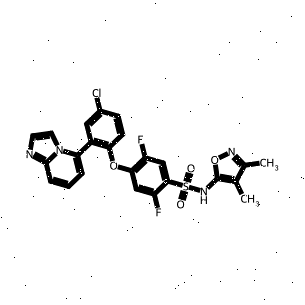 Cc1noc(NS(=O)(=O)c2cc(F)c(Oc3ccc(Cl)cc3-c3cccc4nccn34)cc2F)c1C